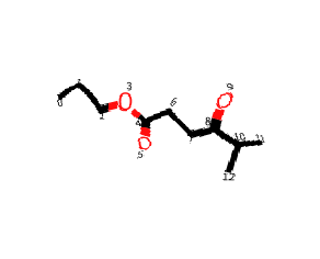 CCCOC(=O)CCC(=O)[C](C)C